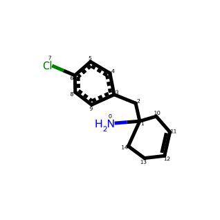 NC1(Cc2ccc(Cl)cc2)CC=CCC1